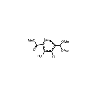 COC(=O)c1ncc(C(OC)OC)c(Cl)c1C